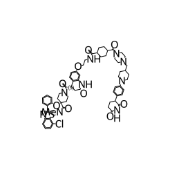 CNC(=O)C1(Oc2ccccc2-c2nc3cccc(Cl)c3s2)CCN(C(=O)[C@H]2CC(=O)Nc3cc(OCCNC(=O)C4CCC(C(=O)N5CCN(CC6CCN(c7ccc(C8CCC(=O)NC8=O)cc7)CC6)CC5)CC4)ccc32)CC1